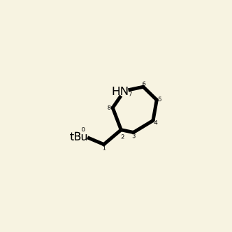 CC(C)(C)CC1CCCCNC1